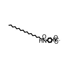 CCCCCCCCCCCCCCCCCC(=O)Nc1ccc([N+](=O)[O-])cc1